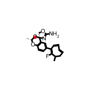 CC1C/C=C/C=C\C(c2ccc3c(c2)[C@@]2(COC(N)=N2)C2(COC2)[C@@H](C)O3)=C/1F